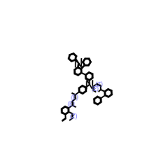 C=Cc1cccc(/C(C)=C/C=C(\C)c2ccc(N(C(/C=C\C(C)c3ccccc3-c3ccccc3)=C/C)c3cccc(-c4cccc5c4c4ccccc4n5-c4ccccc4)c3)cc2)c1/C=C\C